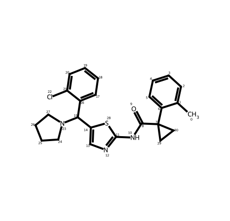 Cc1ccccc1C1(C(=O)Nc2ncc(C(c3ccccc3Cl)N3CCCC3)s2)CC1